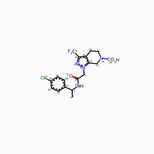 CC(NC(=O)Cn1nc(C(F)(F)F)c2c1CN(C(=O)O)CC2)c1ccc(Cl)cc1